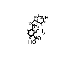 Cc1c(C(=O)O)cccc1N1CCC2(CCNCC2)C1